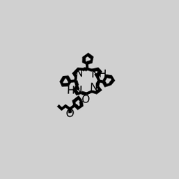 CCCC(=O)c1ccc(Oc2c3nc(c(-c4ccccc4)c4ccc([nH]4)c(-c4ccccc4)c4nc(c(-c5ccccc5)c5ccc2[nH]5)C=C4)C=C3)cc1